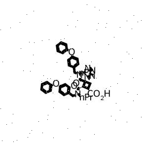 CCCN(Cc1ccc(Oc2ccccc2)cc1)C(=O)[C@H]1[C@@H](C(=O)O)C[C@@]1(C(=O)N(CCC)Cc1ccc(Oc2ccccc2)cc1)n1cnnn1